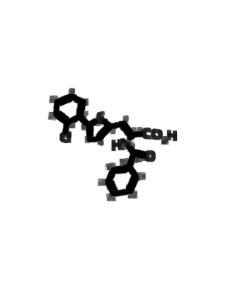 O=C(O)/C(=C/c1ccc(-c2ccccc2Cl)s1)NC(=O)c1ccccc1